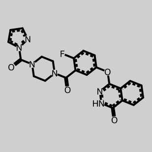 O=C(c1cc(Oc2n[nH]c(=O)c3ccccc23)ccc1F)N1CCN(C(=O)n2cccn2)CC1